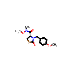 COc1ccc(CN2C(=O)SC[C@H]2C(=O)N(C)OC)cc1